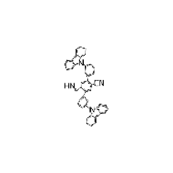 N#Cc1cc(-c2cccc(-n3c4ccccc4c4ccccc43)c2)c(C=N)cc1-c1cccc(-n2c3ccccc3c3ccccc32)c1